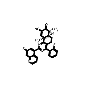 C[C@H]1C(=O)C(C#N)=C[C@@]2(C)c3nc(-c4cc(F)cc5ncccc45)nc(-c4ccccc4F)c3CC[C@H]12